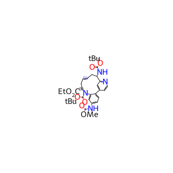 CCOC(=O)[C@@H]1C/C=C/CC(NC(=O)OC(C)(C)C)c2cc(ccn2)-c2ccc(NC(=O)OC)cc2N1C(=O)OC(C)(C)C